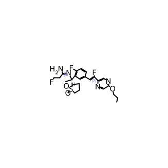 CCCOc1cnc(/C(F)=C/c2ccc(F)c(C(C)(/N=C(/N)CCF)[C@@H]3CCCS3(=O)=O)c2)cn1